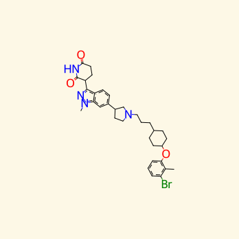 Cc1c(Br)cccc1OC1CCC(CCCN2CCC(c3ccc4c(C5CCC(=O)NC5=O)nn(C)c4c3)C2)CC1